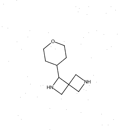 C1CC(C2NCC23CNC3)CCO1